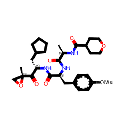 COc1ccc(C[C@H](NC(=O)[C@@H](C)NC(=O)C2CCOCC2)C(=O)N[C@@H](CC2CCCC2)C(=O)[C@@]2(C)CO2)cc1